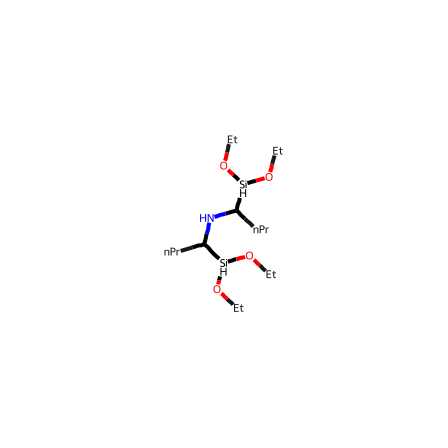 CCCC(NC(CCC)[SiH](OCC)OCC)[SiH](OCC)OCC